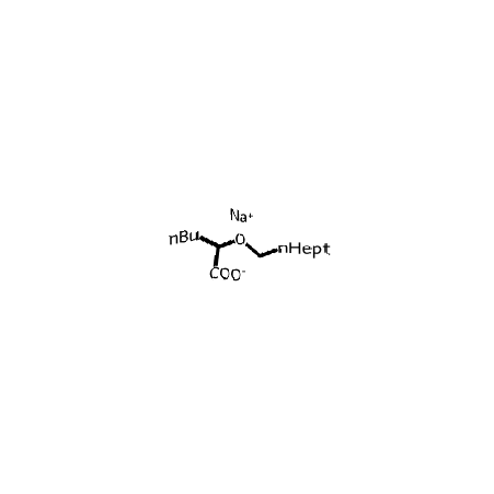 CCCCCCCCOC(CCCC)C(=O)[O-].[Na+]